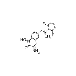 CN(Cc1ccc2c(c1)C[C@H](N)C(=O)N2O)c1c(F)cccc1F